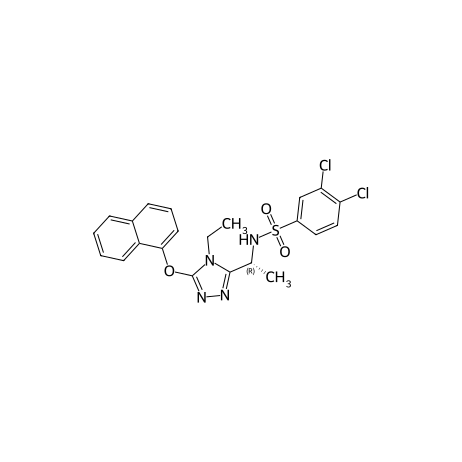 CCn1c(Oc2cccc3ccccc23)nnc1[C@@H](C)NS(=O)(=O)c1ccc(Cl)c(Cl)c1